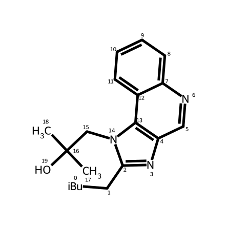 CCC(C)Cc1nc2cnc3ccccc3c2n1CC(C)(C)O